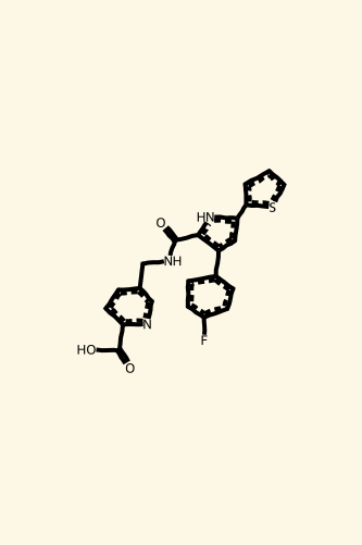 O=C(O)c1ccc(CNC(=O)c2[nH]c(-c3cccs3)cc2-c2ccc(F)cc2)cn1